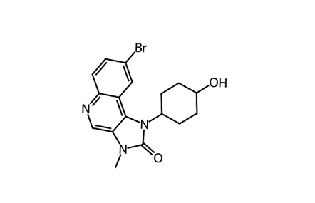 Cn1c(=O)n(C2CCC(O)CC2)c2c3cc(Br)ccc3ncc21